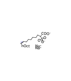 CCCCCCCC/C=C\CCCCCCC(C(=O)[O-])S(=O)(=O)[O-].[Na+].[Na+]